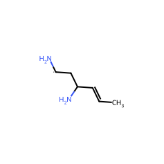 CC=CC(N)C[CH]N